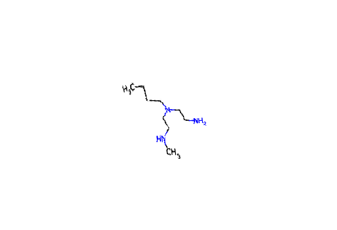 CCCCN(CCN)CCNC